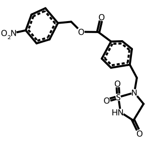 O=C1CN(Cc2ccc(C(=O)OCc3ccc([N+](=O)[O-])cc3)cc2)S(=O)(=O)N1